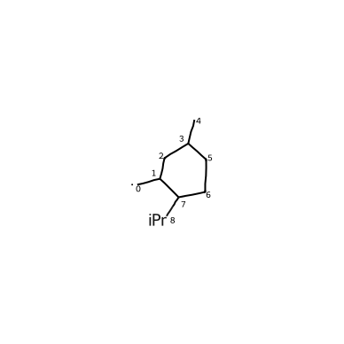 [CH2]C1CC(C)CCC1C(C)C